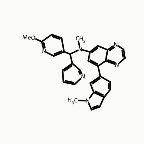 COc1ccc(C(c2cccnc2)N(C)c2cc(-c3ccc4ccn(C)c4c3)c3nccnc3c2)cn1